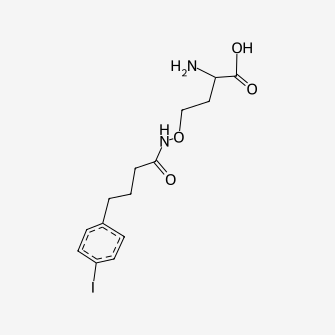 NC(CCONC(=O)CCCc1ccc(I)cc1)C(=O)O